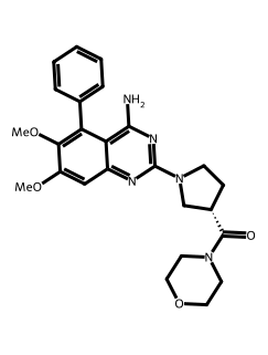 COc1cc2nc(N3CC[C@H](C(=O)N4CCOCC4)C3)nc(N)c2c(-c2ccccc2)c1OC